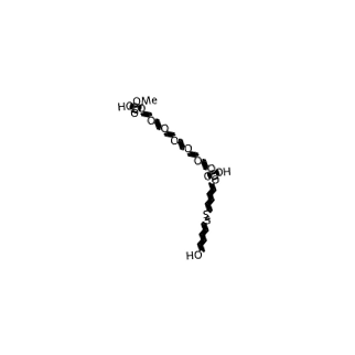 COP(=O)(O)OCCOCCOCCOCCOCCOCCOP(=O)(O)OCCCCCCSSCCCCCCO